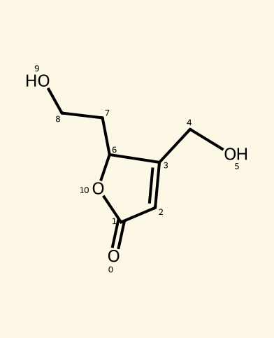 O=C1C=C(CO)C(CCO)O1